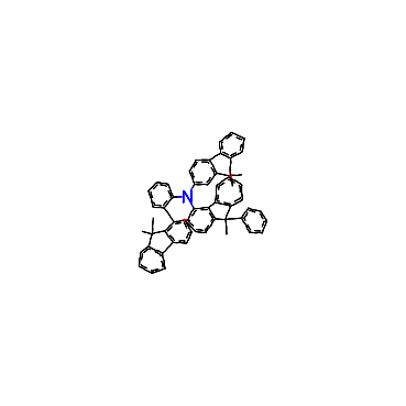 CC1(C)c2ccccc2-c2ccc(N(c3ccccc3-c3cccc4c3C(C)(C)c3ccccc3-4)c3cccc4c3-c3ccccc3C4(C)c3ccccc3)cc21